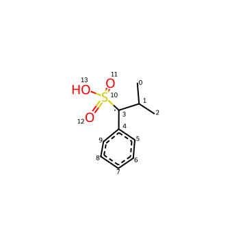 CC(C)[C](c1ccccc1)S(=O)(=O)O